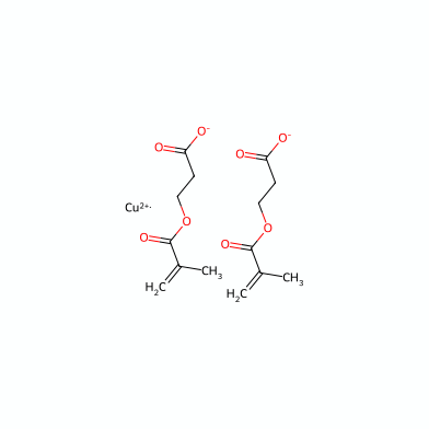 C=C(C)C(=O)OCCC(=O)[O-].C=C(C)C(=O)OCCC(=O)[O-].[Cu+2]